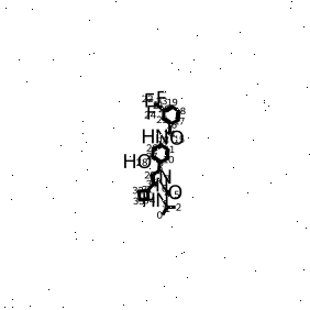 CC(C)NC(=O)n1nc(-c2ccc(NC(=O)c3cccc(C(F)(F)F)c3)cc2O)cc1C1CCC1